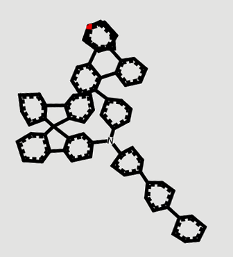 c1ccc(-c2ccc(-c3ccc(N(c4cccc(-c5cccc(-c6ccccc6)c5-c5ccccc5-c5ccccc5)c4)c4ccc5c(c4)C4(c6ccccc6-c6ccccc64)c4ccccc4-5)cc3)cc2)cc1